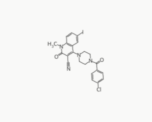 Cn1c(=O)c(C#N)c(N2CCN(C(=O)c3ccc(Cl)cc3)CC2)c2cc(I)ccc21